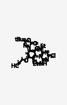 C#CCOc1cc(-n2nc(C(C)(C)C)oc2=O)c(Cl)cc1Cl.CCNc1nc(Cl)nc(NCC)n1